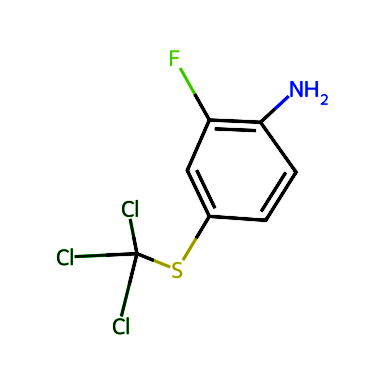 Nc1ccc(SC(Cl)(Cl)Cl)cc1F